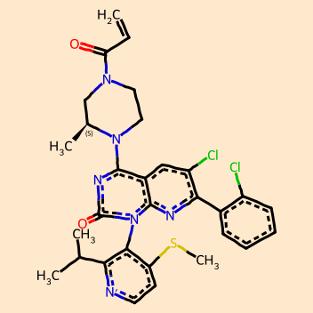 C=CC(=O)N1CCN(c2nc(=O)n(-c3c(SC)ccnc3C(C)C)c3nc(-c4ccccc4Cl)c(Cl)cc23)[C@@H](C)C1